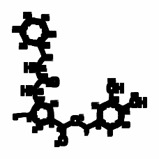 Cc1sc(C(=O)OCc2ccc(O)c(O)c2)cc1NC(=O)NCc1ccccc1